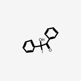 O=C(c1ccccc1)C(O)(I)c1ccccc1